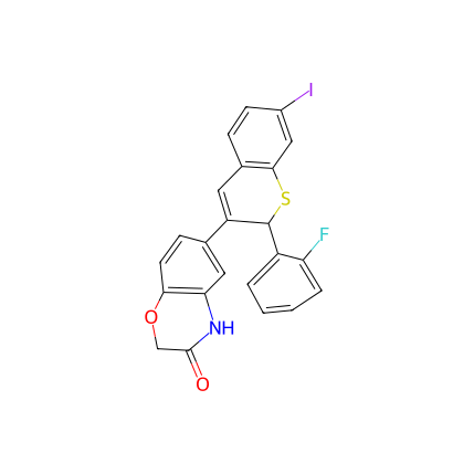 O=C1COc2ccc(C3=Cc4ccc(I)cc4SC3c3ccccc3F)cc2N1